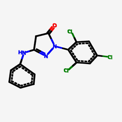 O=C1CC(Nc2ccccc2)=NN1c1c(Cl)cc(Cl)cc1Cl